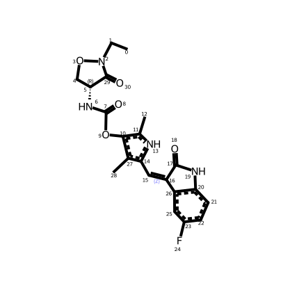 CCN1OC[C@@H](NC(=O)Oc2c(C)[nH]c(/C=C3\C(=O)Nc4ccc(F)cc43)c2C)C1=O